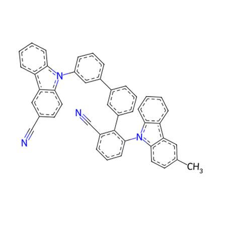 Cc1ccc2c(c1)c1ccccc1n2-c1cccc(C#N)c1-c1cccc(-c2cccc(-n3c4ccccc4c4cc(C#N)ccc43)c2)c1